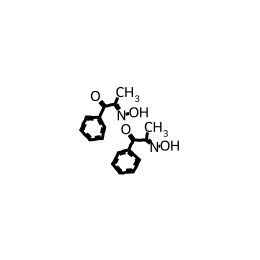 CC(=NO)C(=O)c1ccccc1.CC(=NO)C(=O)c1ccccc1